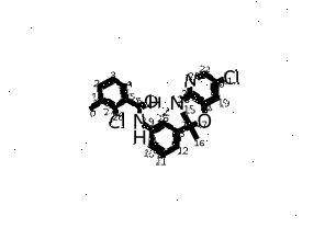 Cc1cccc(C(=O)Nc2cccc(C(C)(C)Oc3cc(Cl)cnc3N)c2)c1Cl